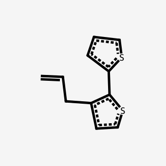 C=CCc1ccsc1-c1cccs1